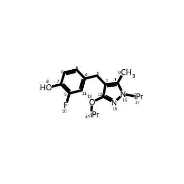 Cc1c(Cc2ccc(O)c(F)c2)c(OC(C)C)nn1C(C)C